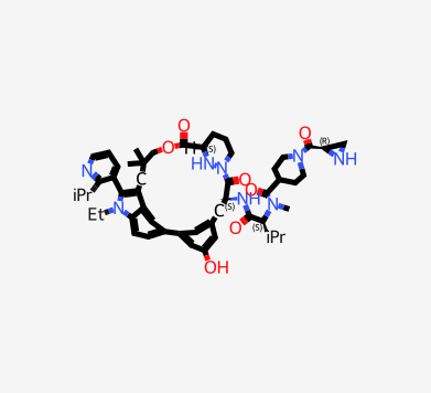 CCn1c(-c2cccnc2C(C)C)c2c3cc(ccc31)-c1cc(O)cc(c1)C[C@H](NC(=O)[C@H](C(C)C)N(C)C(=O)C1CCN(C(=O)[C@H]3CN3)CC1)C(=O)N1CCC[C@H](N1)C(=O)OCC(C)(C)C2